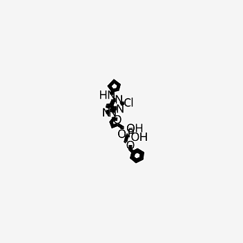 OP(O)C(COCc1ccccc1)OCC1CCC(n2ncc3c(NC4CCCC4)nc(Cl)nc32)O1